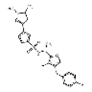 CCn1c(Oc2ccc(F)cc2)nnc1[C@@H](C)NS(=O)(=O)c1ccc(C2=NN(C)C(C(F)(F)F)C2)s1